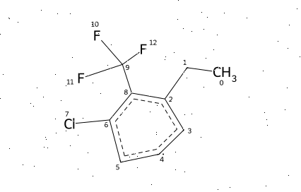 CCc1c[c]cc(Cl)c1C(F)(F)F